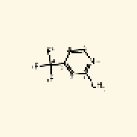 Cc1[c]c(C(F)(F)F)[c][c]n1